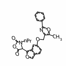 CCCN1C(=O)OC(=O)C1c1occ2ccc(OCc3nc(-c4ccccc4)oc3C)cc12